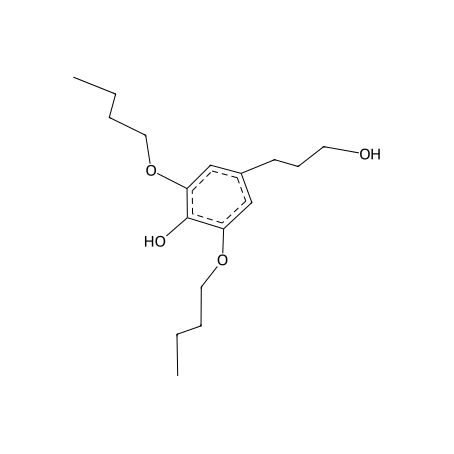 CCCCOc1cc(CCCO)cc(OCCCC)c1O